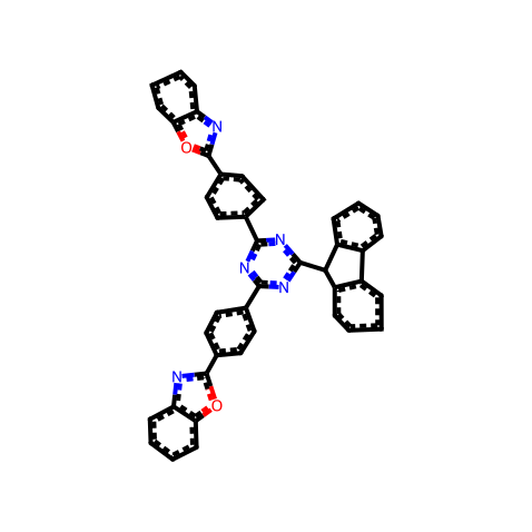 c1ccc2c(c1)-c1ccccc1C2c1nc(-c2ccc(-c3nc4ccccc4o3)cc2)nc(-c2ccc(-c3nc4ccccc4o3)cc2)n1